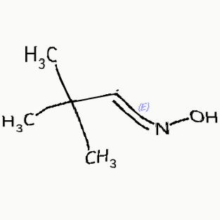 CC(C)(C)/[C]=N/O